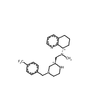 CN(C[C@@H]1CN(Cc2ccc(C(F)(F)F)cc2)CCN1)[C@H]1CCCc2cccnc21